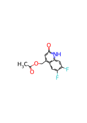 CC(=O)OCc1cc(=O)[nH]c2cc(F)c(F)cc12